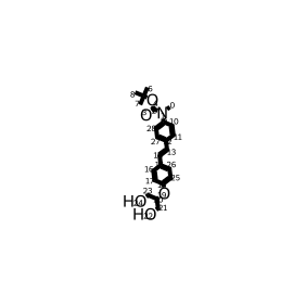 CN(C(=O)OC(C)(C)C)c1ccc(/C=C/c2ccc(OC(CO)CO)cc2)cc1